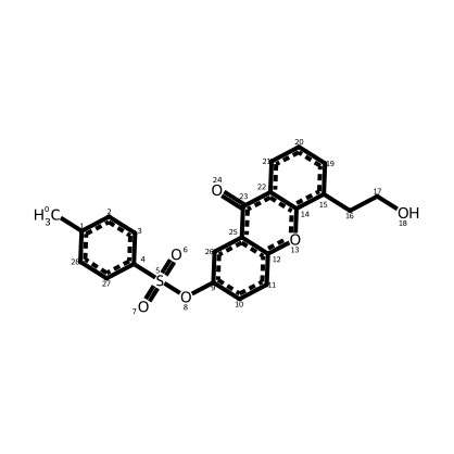 Cc1ccc(S(=O)(=O)Oc2ccc3oc4c(CCO)cccc4c(=O)c3c2)cc1